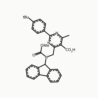 COC(=O)N(Cc1nc(-c2ccc(C(C)(C)C)cc2)nc(C)c1C(=O)O)C1c2ccccc2-c2ccccc21